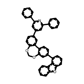 c1ccc(-c2cc(-c3ccc4c(c3)-c3ccc(-c5cccc6oc7ccccc7c56)cc3OCO4)cc(-c3ccccc3)n2)cc1